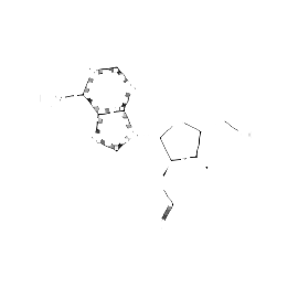 Nc1ncnc2c1ncn2[C@@H]1O[C@H](CO)[C@@H](O)[C@H]1OC=S